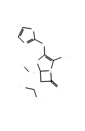 CCS[C@]12SC(Sc3nccs3)=C(C(=O)O)N1C(=O)[C@@H]2C(C)O